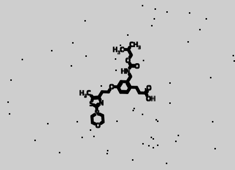 Cc1sc(N2CCOCC2)nc1CCOc1ccc(CCC(=O)O)c(CNC(=O)OCC(C)C)c1